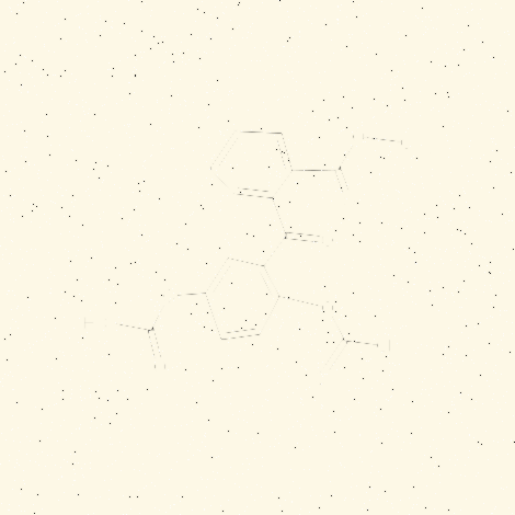 COC(=O)c1ccccc1C(=O)c1cc(OC(C)=O)ccc1OC(C)=O